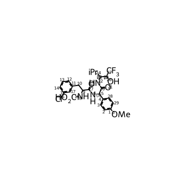 COc1ccc([C@H](NC(=O)C(Cc2cccc(Cl)c2)NC(=O)O)C(=O)N[C@@H](C(C)C)[C@H](O)C(F)(F)F)cc1